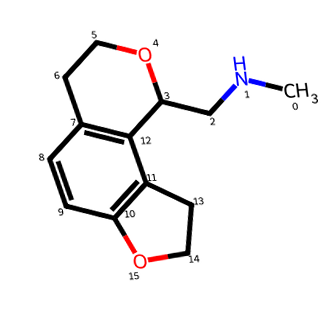 CNCC1OCCc2ccc3c(c21)CCO3